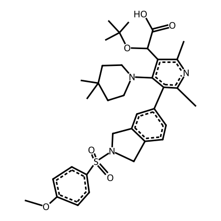 COc1ccc(S(=O)(=O)N2Cc3ccc(-c4c(C)nc(C)c(C(OC(C)(C)C)C(=O)O)c4N4CCC(C)(C)CC4)cc3C2)cc1